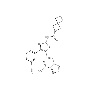 Cc1cc(C2=C(c3cccc(C#N)c3)NC(NC(=O)N3CC4(COC4)C3)S2)cn2ccnc12